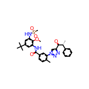 COc1c(NC(=O)c2ccc(C)c(-n3cc(C(=O)[C@H](C)c4ccccc4)nn3)c2)cc(C(C)(C)C)cc1NS(C)(=O)=O